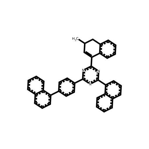 CC1C=C(c2nc(-c3ccc(-c4cccc5ccccc45)cc3)nc(-c3cccc4ccccc34)n2)c2ccccc2C1